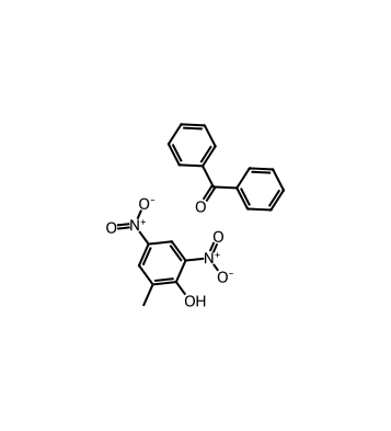 Cc1cc([N+](=O)[O-])cc([N+](=O)[O-])c1O.O=C(c1ccccc1)c1ccccc1